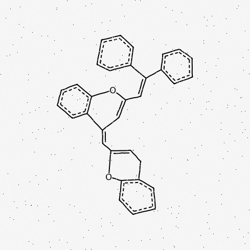 [C]1=C(C=C2C=C(C=C(c3ccccc3)c3ccccc3)Oc3ccccc32)Oc2ccccc2C1